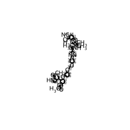 Cn1cc(-c2cc(CS(C)(=O)=O)ccc2Oc2cccc(OCCOC3CCN(c4ncc(C(=O)N[C@H]5C(C)(C)[C@H](Oc6ccc(C#N)c(Cl)c6)C5(C)C)cn4)CC3)c2)c2cc[nH]c2c1=O